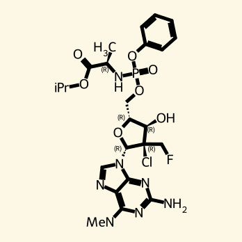 CNc1nc(N)nc2c1ncn2[C@@H]1O[C@H](COP(=O)(N[C@H](C)C(=O)OC(C)C)Oc2ccccc2)[C@@H](O)[C@]1(Cl)CF